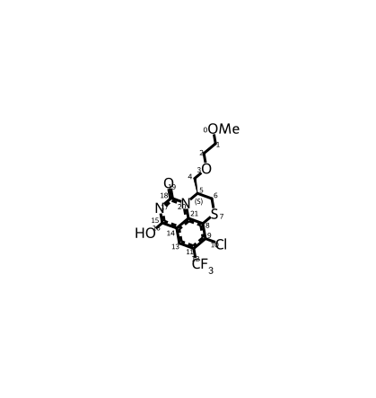 COCCOC[C@H]1CSc2c(Cl)c(C(F)(F)F)cc3c(O)nc(=O)n1c23